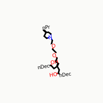 CCCC=C1CCN(CCOCCOCCC=C(CC(O)CCCCCCCCCC)CC(O)CCCCCCCCCC)CC1